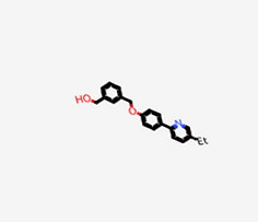 CCc1ccc(-c2ccc(OCc3cccc(CO)c3)cc2)nc1